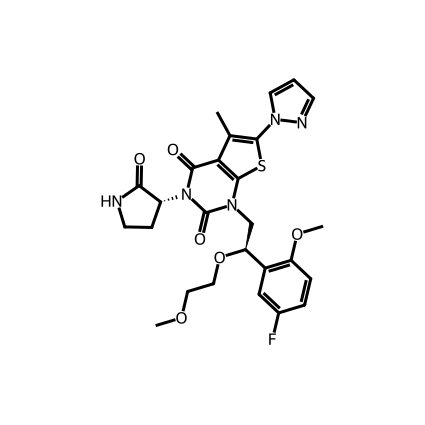 COCCO[C@@H](Cn1c(=O)n([C@@H]2CCNC2=O)c(=O)c2c(C)c(-n3cccn3)sc21)c1cc(F)ccc1OC